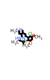 COc1cc(OC)c(Cl)c(-c2cc3cnc(C)cc3c(N[C@@H](C)C3CC3)n2)c1Cl